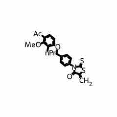 C=C1SC(=S)N(c2ccc(COc3ccc(C(C)=O)c(OC)c3CCC)cc2)C1=O